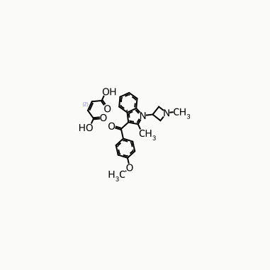 COc1ccc(C(=O)c2c(C)n(C3CN(C)C3)c3ccccc23)cc1.O=C(O)/C=C\C(=O)O